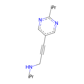 CC(C)NCC#Cc1cnc(C(C)C)nc1